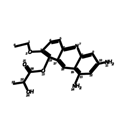 CCOc1ccc2nc3cc(N)cc(N)c3cc2c1OC(=O)C(C)O